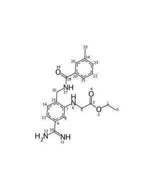 CCOC(=O)CNc1cc(C(=N)N)ccc1CNC(=O)c1cccc(C)c1